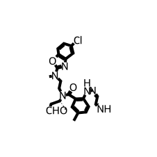 Cc1ccc(N/N=C\C=N)c(C(=O)N(CCN(C)c2nc3cc(Cl)ccc3o2)[C@H](C)CC=O)c1